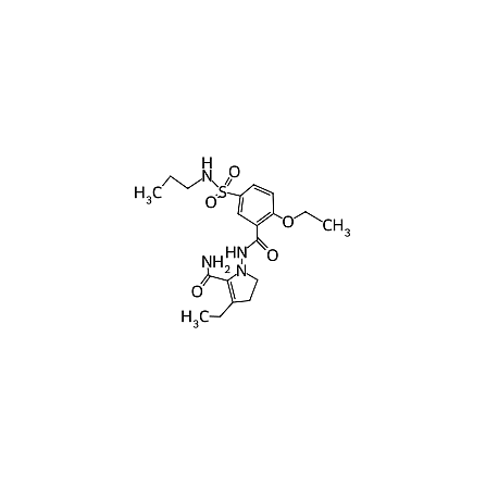 CCCNS(=O)(=O)c1ccc(OCC)c(C(=O)NN2CCC(CC)=C2C(N)=O)c1